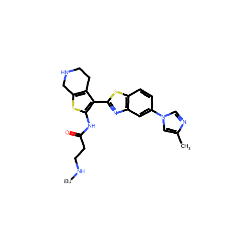 CCC(C)NCCC(=O)Nc1sc2c(c1-c1nc3cc(-n4cnc(C)c4)ccc3s1)CCNC2